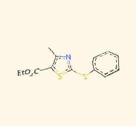 CCOC(=O)c1sc(Sc2ccccc2)nc1C